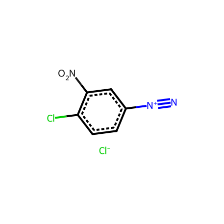 N#[N+]c1ccc(Cl)c([N+](=O)[O-])c1.[Cl-]